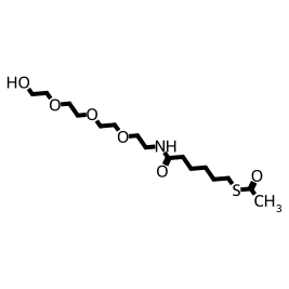 CC(=O)SCCCCCC(=O)NCCOCCOCCOCCO